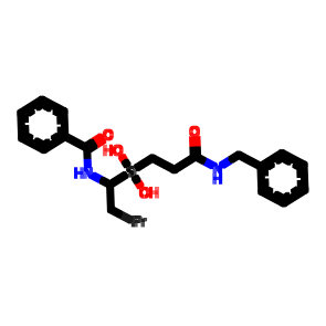 CC(C)CC(NC(=O)c1ccccc1)[Si](O)(O)CCC(=O)NCc1ccccc1